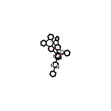 c1ccc(-c2cc(-c3ccc4c(c3)C3(c5ccccc5-c5ccccc5-4)c4ccccc4-c4cc5oc6ccccc6c5cc43)nc(-c3cnc(-c4ccccc4)nc3)n2)cc1